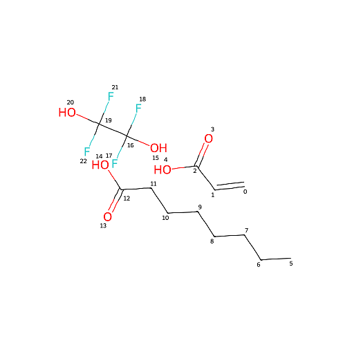 C=CC(=O)O.CCCCCCCC(=O)O.OC(F)(F)C(O)(F)F